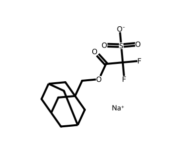 O=C(OCC12CC3CC(CC(C3)C1)C2)C(F)(F)S(=O)(=O)[O-].[Na+]